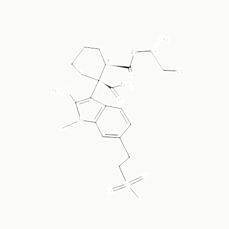 CC(C)C[C@@H](C#N)NC(=O)[C@@H]1CCCC[C@@]1(C(N)=O)c1c(C(=O)O)n(C)c2cc(CCS(C)(=O)=O)ccc12